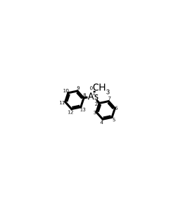 C[As](c1ccccc1)c1ccccc1